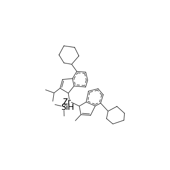 CC1=Cc2c(C3CCCCC3)cccc2[CH]1[Zr]([CH]1C(C(C)C)=Cc2c(C3CCCCC3)cccc21)[SiH](C)C